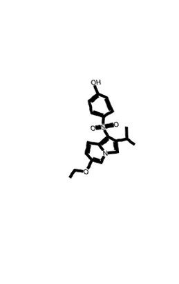 CCOc1ccc2c(S(=O)(=O)c3ccc(O)cc3)c(C(C)C)cn2c1